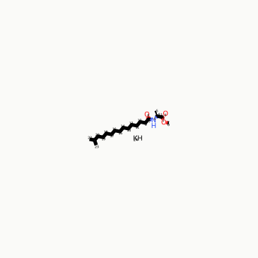 COC(=O)[C@H](C)NC(=O)CCCCCCCCCCCCC(C)C.[KH]